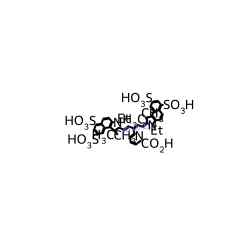 CCN1/C(=C/C=C(/C=C/C2=[N+](CC)c3ccc4c(S(=O)(=O)O)cc(S(=O)(=O)O)cc4c3C2(C)C)c2cccc(C(=O)O)n2)C(C)(C)c2c1ccc1c(S(=O)(=O)O)cc(S(=O)(=O)O)cc21